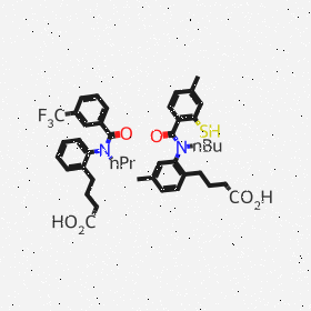 CCCCN(C(=O)c1ccc(C)cc1S)c1cc(C)ccc1CCCC(=O)O.CCCN(C(=O)c1cccc(C(F)(F)F)c1)c1ccccc1CCCC(=O)O